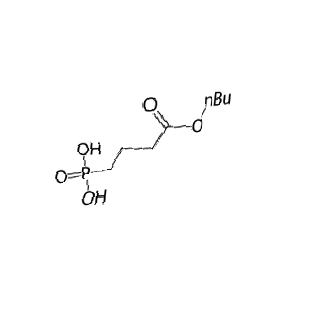 CCCCOC(=O)CCCP(=O)(O)O